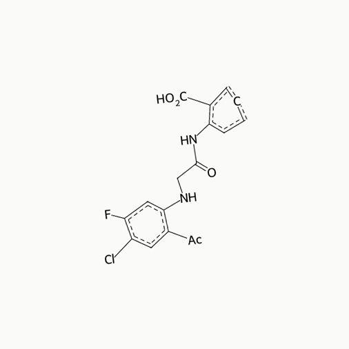 CC(=O)c1cc(Cl)c(F)cc1NCC(=O)Nc1ccccc1C(=O)O